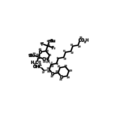 CCCCC(F)(F)C(CC[C@H](CCCCCCCC(=O)O)[C@@H](CC=O)OC1CCCCO1)O[Si](C)(C)C(C)(C)C